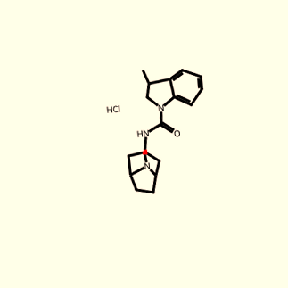 CC1CN(C(=O)NC2CC3CCC(C2)N3C)c2ccccc21.Cl